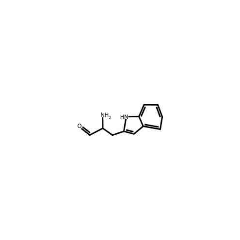 NC(C=O)Cc1cc2ccccc2[nH]1